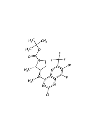 C[C@H]1[C@H](N(C)c2nc(Cl)nc3c(F)c(Br)c(C(F)(F)F)cc23)CCN1C(=O)OC(C)(C)C